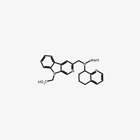 CCCCCN(Cc1cc2c3ccccc3n(CC(=O)O)c2cn1)C1CCCc2cccnc21